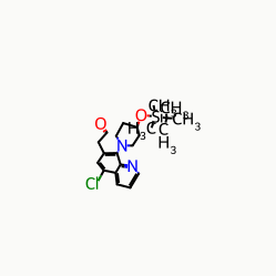 CC(C)(C)[Si](C)(C)OC1CCN(c2c(CC=O)cc(Cl)c3cccnc23)CC1